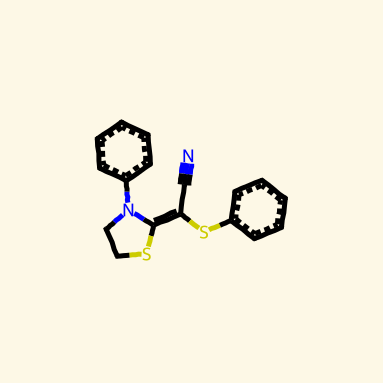 N#C/C(Sc1ccccc1)=C1/SCCN1c1ccccc1